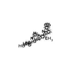 CCc1cc(CNCCOCCNC(=O)NCCO)c(OCc2cncc(C#N)c2)cc1OCc1cccc(-c2ccc3c(c2)OCCO3)c1C#N